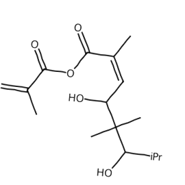 C=C(C)C(=O)OC(=O)C(C)=CC(O)C(C)(C)C(O)C(C)C